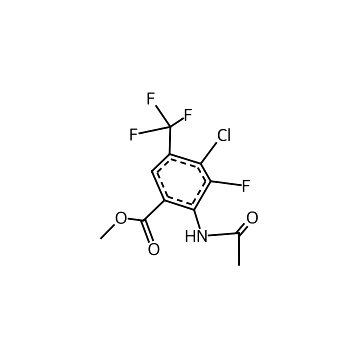 COC(=O)c1cc(C(F)(F)F)c(Cl)c(F)c1NC(C)=O